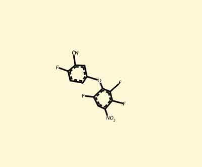 N#Cc1cc(Oc2c(F)cc([N+](=O)[O-])c(F)c2F)ccc1F